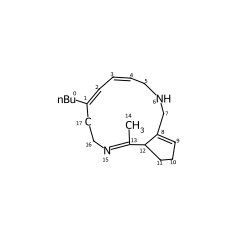 CCCC/C1=C/C=C\CNCC2=CCCC2/C(C)=N/CC1